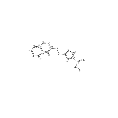 COC(=O)c1ncn(CCc2ccc3cccnc3n2)n1